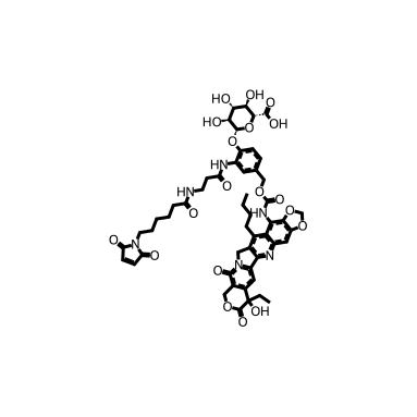 CCCCc1c2c(nc3cc4c(c(NC(=O)OCc5ccc(O[C@H]6O[C@@H](C(=O)O)[C@H](O)[C@@H](O)[C@@H]6O)c(NC(=O)CCNC(=O)CCCCCN6C(=O)C=CC6=O)c5)c13)OCO4)-c1cc3c(c(=O)n1C2)COC(=O)C3(O)CC